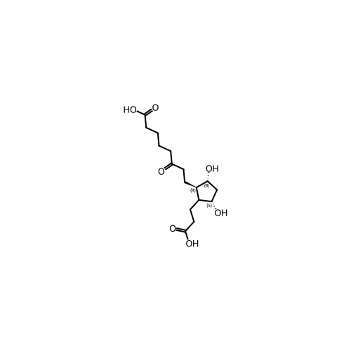 O=C(O)CCCCC(=O)CC[C@@H]1C(CCC(=O)O)[C@@H](O)C[C@H]1O